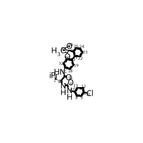 CC(C)C[C@@H](NC(=O)Nc1ccc(Cl)cc1)C(=O)Nc1ccc(-c2ccccc2S(C)(=O)=O)cc1